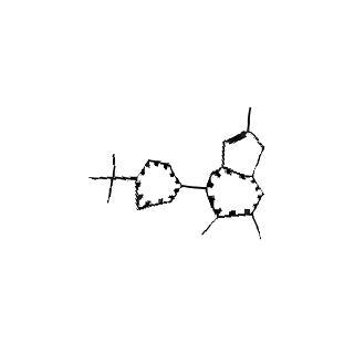 CC1=Cc2c(cc(C)c(C)c2-c2ccc(C(C)(C)C)cc2)C1